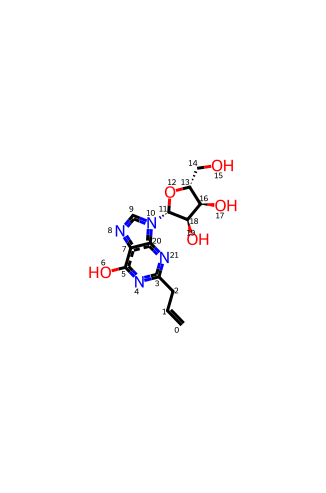 C=CCc1nc(O)c2ncn([C@@H]3O[C@H](CO)[C@@H](O)[C@H]3O)c2n1